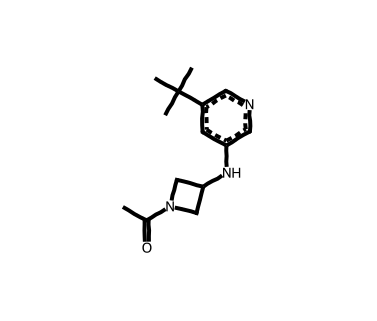 CC(=O)N1CC(Nc2cncc(C(C)(C)C)c2)C1